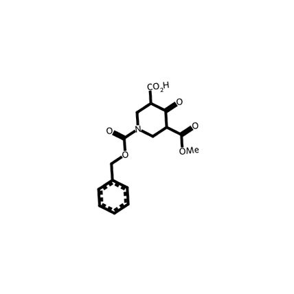 COC(=O)C1CN(C(=O)OCc2ccccc2)CC(C(=O)O)C1=O